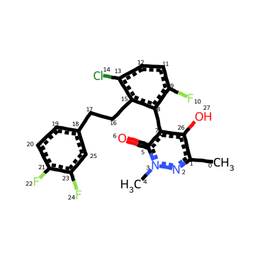 Cc1nn(C)c(=O)c(-c2c(F)ccc(Cl)c2CCc2ccc(F)c(F)c2)c1O